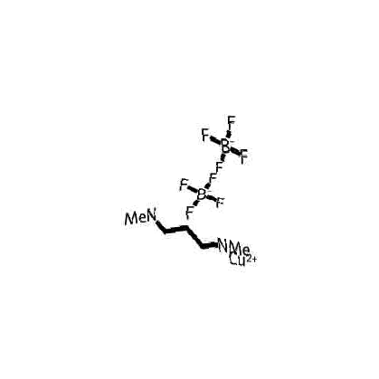 CNCCCNC.F[B-](F)(F)F.F[B-](F)(F)F.[Cu+2]